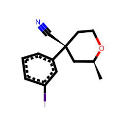 C[C@H]1C[C@](C#N)(c2cccc(I)c2)CCO1